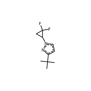 CC(C)(C)c1ccn(C2CC2(F)F)n1